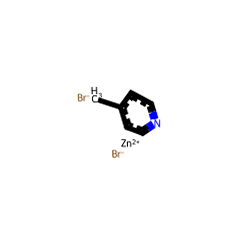 Cc1ccncc1.[Br-].[Br-].[Zn+2]